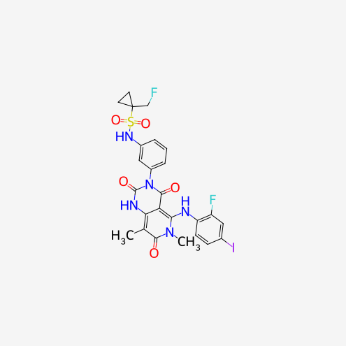 Cc1c(=O)n(C)c(Nc2ccc(I)cc2F)c2c(=O)n(-c3cccc(NS(=O)(=O)C4(CF)CC4)c3)c(=O)[nH]c12